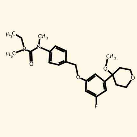 CCN(C)C(=O)N(C)c1ccc(COc2cc(F)cc(C3(OC)CCOCC3)c2)cc1